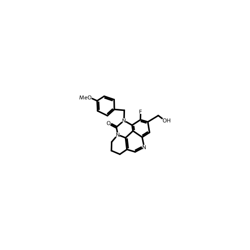 COc1ccc(CN2C(=O)N3CCCc4cnc5cc(CO)c(F)c2c5c43)cc1